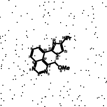 COCc1n[c]nc2cccc(-c3nc(C(C)C)cs3)c12